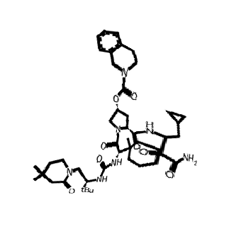 CC1(C)CCN(C[C@@H](NC(=O)N[C@H](C(=O)N2C[C@H](OC(=O)N3CCc4ccccc4C3)C[C@H]2C(=O)NC(CC2CC2)C(=O)C(N)=O)C2(C)CCCCC2)C(C)(C)C)C(=O)C1